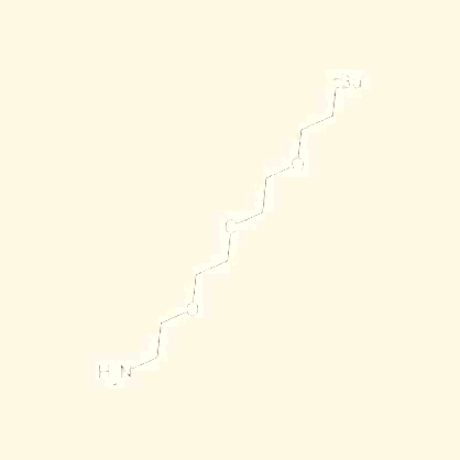 CC(C)(C)CCOCCOCCOCCN